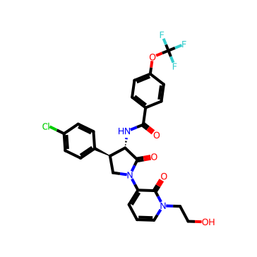 O=C(N[C@@H]1C(=O)N(c2cccn(CCO)c2=O)C[C@H]1c1ccc(Cl)cc1)c1ccc(OC(F)(F)F)cc1